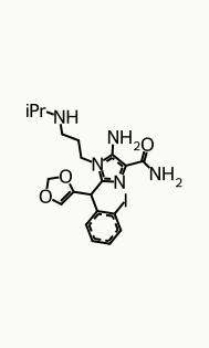 CC(C)NCCCn1c(C(C2=COCO2)c2ccccc2I)nc(C(N)=O)c1N